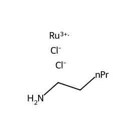 CCCCCN.[Cl-].[Cl-].[Ru+3]